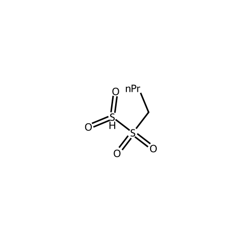 CCCCS(=O)(=O)[SH](=O)=O